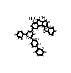 CC1(C)c2ccc(-c3cc(-c4ccccc4)nc(-c4ccc(-c5ccccc5)cc4)c3)cc2-c2c1ccc1c2oc2ccccc21